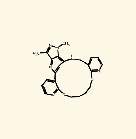 Cc1nn(C)c2c3cc(nc12)-c1cccnc1OCCCCOc1ncccc1CN3